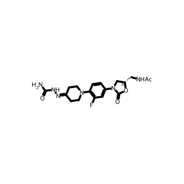 CC(=O)NC[C@H]1CN(c2ccc(N3CCC(=NNC(N)=O)CC3)c(F)c2)C(=O)O1